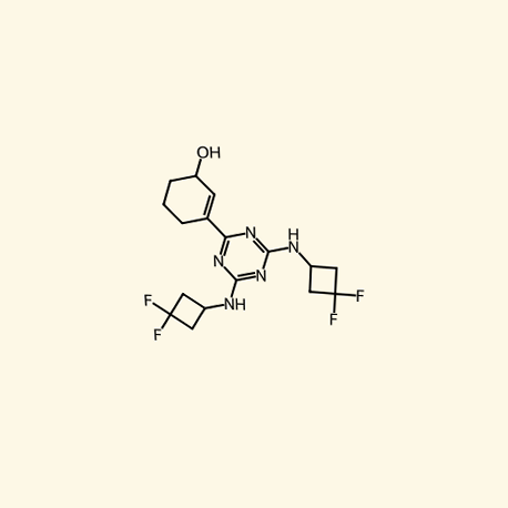 OC1C=C(c2nc(NC3CC(F)(F)C3)nc(NC3CC(F)(F)C3)n2)CCC1